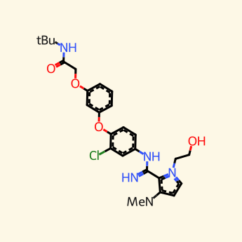 CNc1ccn(CCO)c1C(=N)Nc1ccc(Oc2cccc(OCC(=O)NC(C)(C)C)c2)c(Cl)c1